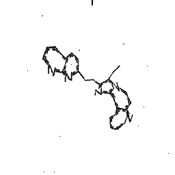 Cc1c(CCc2ccc3cccnc3n2)nc2c3cccnc3ccn12